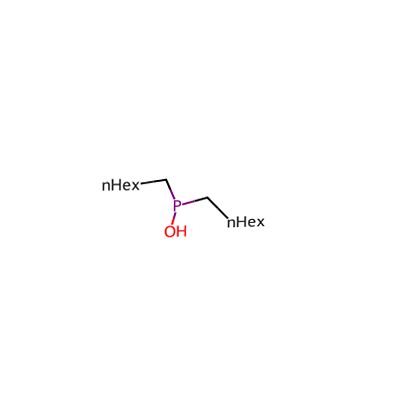 CCCCCCCP(O)CCCCCCC